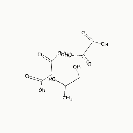 CC(O)CO.O=C(O)C(=O)O.O=C(O)CC(=O)O